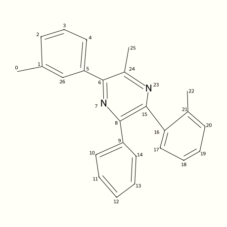 Cc1cccc(-c2nc(-c3ccccc3)c(-c3ccccc3C)nc2C)c1